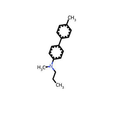 CCCN(C)c1ccc(-c2ccc(C)cc2)cc1